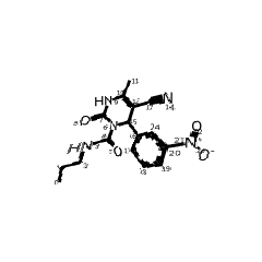 CCCNC(=O)N1C(=O)NC(C)=C(C#N)C1c1cccc([N+](=O)[O-])c1